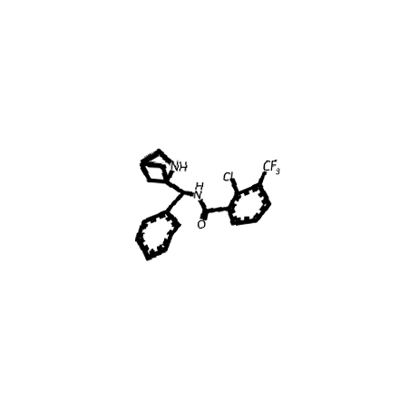 O=C(NC(c1ccccc1)C12CC(CN1)C2)c1cccc(C(F)(F)F)c1Cl